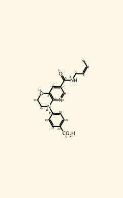 C/C=C\CNC(=O)c1cnc2c(c1)OCCN2c1ccc(C(=O)O)cc1